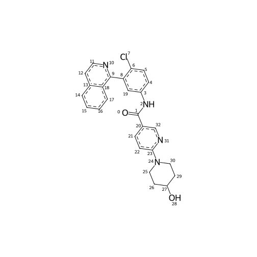 O=C(Nc1ccc(Cl)c(-c2nccc3ccccc23)c1)c1ccc(N2CCC(O)CC2)nc1